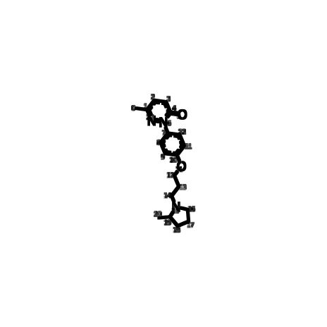 Cc1ccc(=O)n(-c2ccc(OCCCN3CCCC3C)cc2)n1